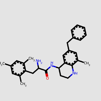 Cc1cc(C)c(CC(N)C(=O)NC2CCNc3c(C)cc(Cc4ccccc4)cc32)c(C)c1